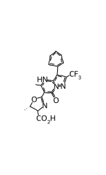 Cc1[nH]c2c(-c3ccccc3)c(C(F)(F)F)nn2c(=O)c1C1=NC(C(=O)O)[C@H](C)O1